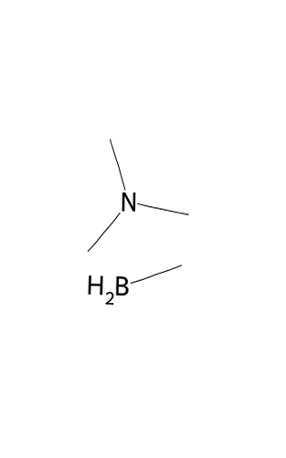 BC.CN(C)C